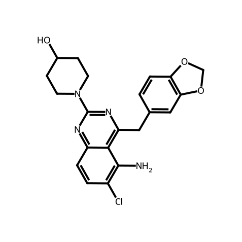 Nc1c(Cl)ccc2nc(N3CCC(O)CC3)nc(Cc3ccc4c(c3)OCO4)c12